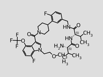 COCCn1cc(C(=O)N2CCC(c3cc(CNC(=O)[C@@H](NC(=O)[C@@H](N)C(C)C)C(C)C)ccc3F)CC2)c2c(OC(F)(F)F)ccc(F)c21